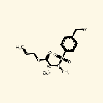 C=CCOC(=O)[C@H]([C@@H](C)CC)N(C)S(=O)(=O)c1ccc(CBr)cc1